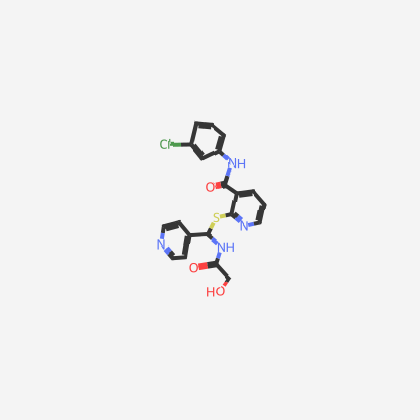 O=C(CO)NC(Sc1ncccc1C(=O)Nc1cccc(Cl)c1)c1ccncc1